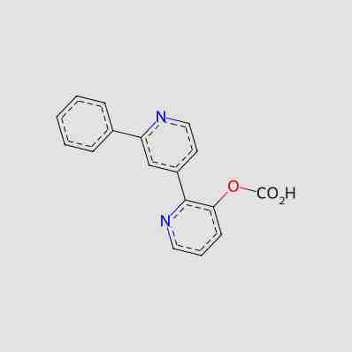 O=C(O)Oc1cccnc1-c1ccnc(-c2ccccc2)c1